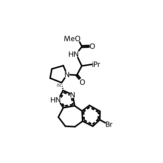 COC(=O)NC(C(=O)N1CCC[C@H]1c1nc2c([nH]1)CCCc1cc(Br)ccc1-2)C(C)C